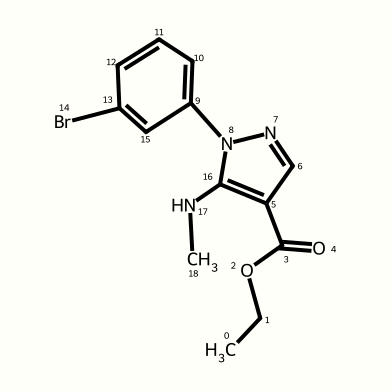 CCOC(=O)c1cnn(-c2cccc(Br)c2)c1NC